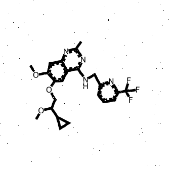 COc1cc2nc(C)nc(NCc3cccc(C(F)(F)F)n3)c2cc1OCC(OC)C1CC1